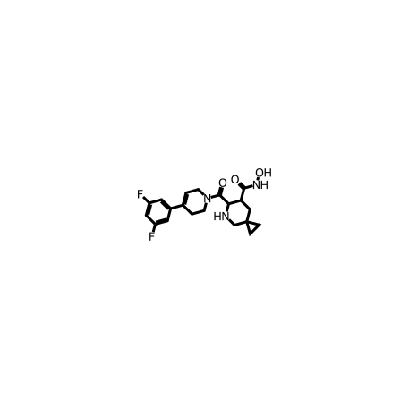 O=C(NO)C1CC2(CC2)CNC1C(=O)N1CC=C(c2cc(F)cc(F)c2)CC1